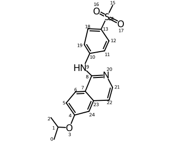 CC(C)Oc1ccc2c(Nc3ccc(S(C)(=O)=O)cc3)nccc2c1